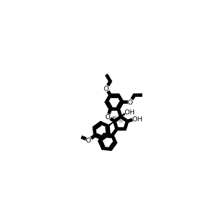 CCOc1cc(OCC)c2c(c1)O[C@@]1(c3ccc(OC)cc3)C(c3ccccc3)CC(O)[C@@]21O